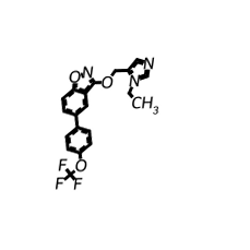 CCn1cncc1COc1noc2ccc(-c3ccc(OC(F)(F)F)cc3)cc12